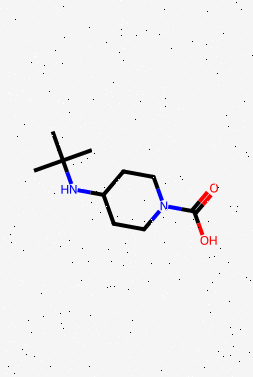 CC(C)(C)NC1CCN(C(=O)O)CC1